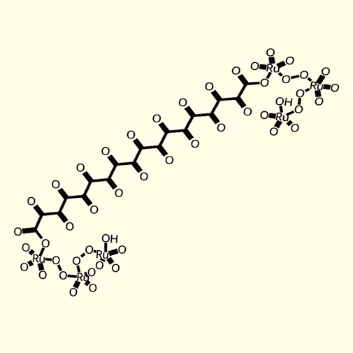 O=C([O][Ru](=[O])(=[O])(=[O])[O][O][Ru](=[O])(=[O])(=[O])[O][O][Ru](=[O])(=[O])(=[O])[OH])C(=O)C(=O)C(=O)C(=O)C(=O)C(=O)C(=O)C(=O)C(=O)C(=O)C(=O)C(=O)C(=O)C(=O)C(=O)C(=O)C(=O)[O][Ru](=[O])(=[O])(=[O])[O][O][Ru](=[O])(=[O])(=[O])[O][O][Ru](=[O])(=[O])(=[O])[OH]